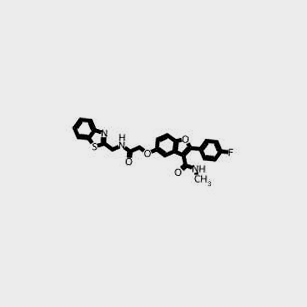 CNC(=O)c1c(-c2ccc(F)cc2)oc2ccc(OCC(=O)NCc3nc4ccccc4s3)cc12